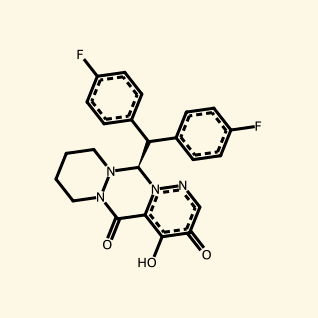 O=C1c2c(O)c(=O)cnn2[C@H](C(c2ccc(F)cc2)c2ccc(F)cc2)N2CCCCN12